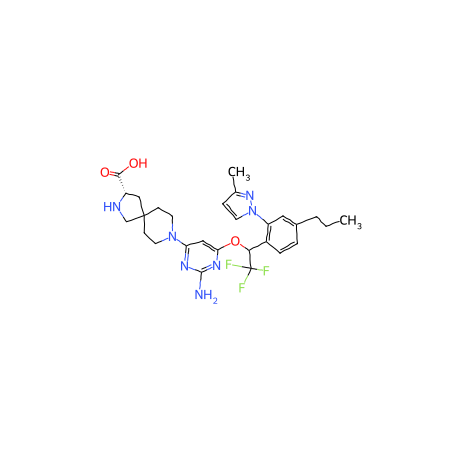 CCCc1ccc(C(Oc2cc(N3CCC4(CC3)CN[C@H](C(=O)O)C4)nc(N)n2)C(F)(F)F)c(-n2ccc(C)n2)c1